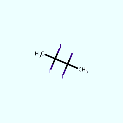 CC(I)(I)C(C)(I)I